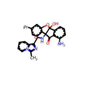 Cc1nc(C(=O)NC23C(=O)c4c(N)cccc4C2(O)Oc2cc(C(C)C)ccc23)c2ccccn12